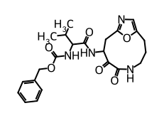 CC(C)C(NC(=O)OCc1ccccc1)C(=O)NC1Cc2ncc(o2)CCCNC(=O)C1=O